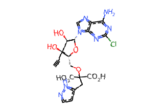 C#C[C@@]1(O)[C@@H](COC(Cc2ccn[nH]2)(C(=O)O)C(=O)O)O[C@@H](n2cnc3c(N)nc(Cl)nc32)[C@@H]1O